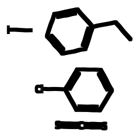 CCc1ccccc1.CI.Clc1ccccc1.S=C=S